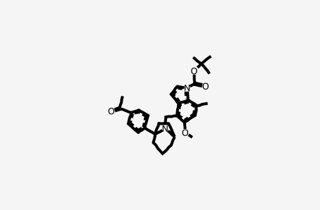 COc1cc(C)c2c(ccn2C(=O)OC(C)(C)C)c1CN1C2CCCC1(c1ccc(C(C)=O)cc1)CC2